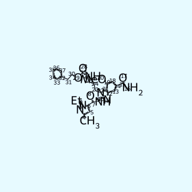 CCn1nc(C)cc1C(=O)Nc1nc2cc(C(N)=O)cc(OC)c2n1CCCNC(=O)OCCc1ccccc1